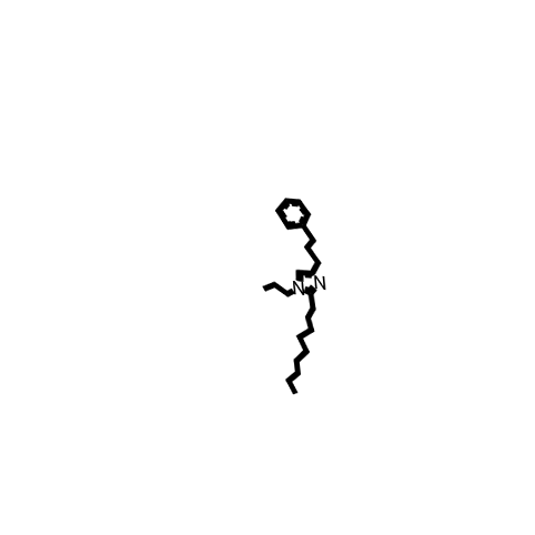 CCCCCCCCCc1nc(CCCc2ccccc2)cn1CCC